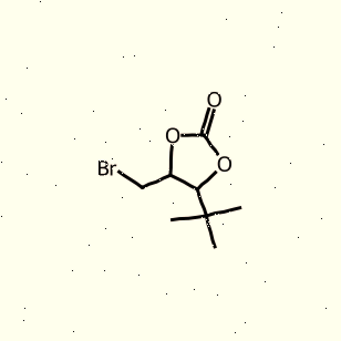 CC(C)(C)C1OC(=O)OC1CBr